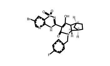 O=C1C(C2=NS(=O)(=O)c3cc(Br)cnc3N2)=C(O)C2[C@H]3CC[C@H](C3)[C@@H]2N1Cc1ccc(F)cc1